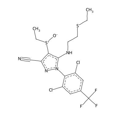 CCSCCNc1c([S+]([O-])CC)c(C#N)nn1-c1c(Cl)cc(C(F)(F)F)cc1Cl